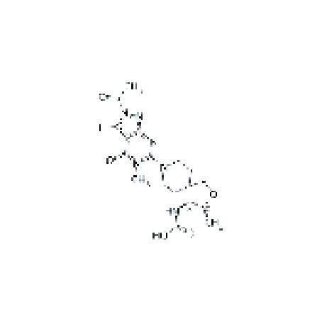 CC(=O)n1nc2nc(N3CCC4(CC3)CO[C@@H](C)[C@H]4NC(=O)O)n(C)c(=O)c2c1I